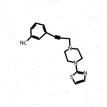 N#Cc1cccc(C#CCN2CCN(c3nccs3)CC2)c1